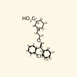 Cc1ccccc1/C(=C\OCCN1CCC[C@@H](C(=O)O)C1)c1ccccc1